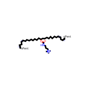 CCCCC/C=C\C/C=C\CCCCCCCCC(CCCCCCCC/C=C\C/C=C\CCCCC)OC(=O)NCCC[N+](C)(C)C